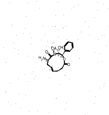 C[C@@H]1[C@@H](c2ccccc2)OC(=O)CC/C=C/C[C@@H](N)C(=O)N1C